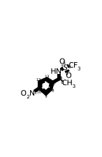 C[C@@H](NS(=O)(=O)C(F)(F)F)c1ccc([N+](=O)[O-])cc1